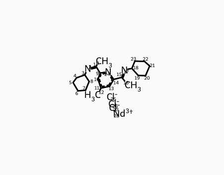 CC(=NC1CCCCC1)c1cc(C)cc(C(C)=NC2CCCCC2)n1.[Cl-].[Cl-].[Cl-].[Nd+3]